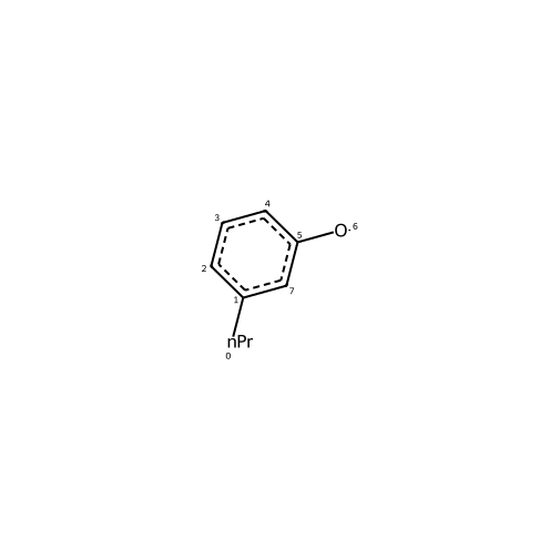 CCCc1cccc([O])c1